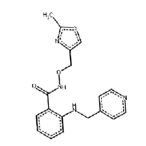 Cc1nc(CONC(=O)c2ccccc2NCc2ccncc2)cs1